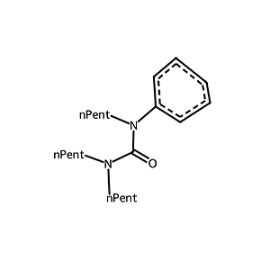 CCCCCN(CCCCC)C(=O)N(CCCCC)c1ccccc1